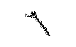 CCCOCCOCCOCCOCCOCCOP(OCCC#N)N(C(C)C)C(C)C